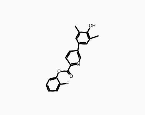 Cc1cc(-c2ccc(C(=O)Oc3ccccc3F)nc2)cc(C)c1O